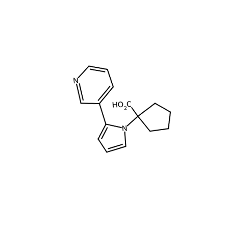 O=C(O)C1(n2cccc2-c2cccnc2)CCCC1